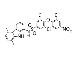 Cc1ccc(C)c2c1[nH]c1c(NS(=O)(=O)c3cc(Cl)c(Oc4ccc([N+](=O)[O-])cc4Cl)c(Cl)c3)cccc12